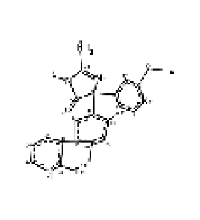 CN1C(=O)C(c2ccnc(CF)c2)(c2cc(-c3cccnc3F)c(F)cc2F)N=C1N